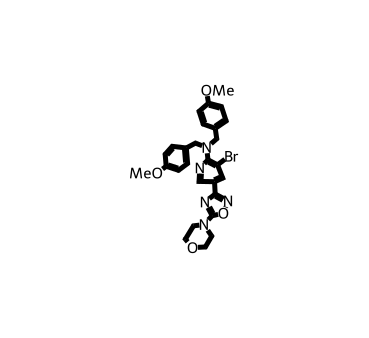 COc1ccc(CN(Cc2ccc(OC)cc2)c2ncc(-c3noc(N4CCOCC4)n3)cc2Br)cc1